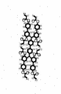 C=CC(=O)Oc1ccc(-c2ccc(OC(=O)C=C)c(C(c3ccc(-c4ccc(C(c5cc(-c6ccc(OC(=O)C=C)cc6)ccc5OC(=O)C=C)c5cc(-c6ccc(OC(=O)C=C)cc6)ccc5OC(=O)C=C)cc4)cc3)c3cc(-c4ccc(OC(=O)C=C)cc4)ccc3OC(=O)C=C)c2)cc1